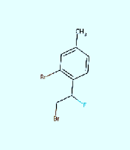 Cc1ccc(C(F)CBr)c(Br)c1